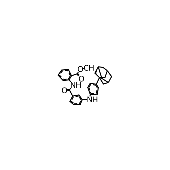 COC(=O)c1ccccc1NC(=O)c1cccc(Nc2ccc(C34CC5CC(CC(C5)C3)C4)cc2)c1